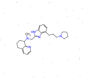 CN(Cc1nc2c(CCCN3CCCC3)cccc2[nH]1)C1CCCc2cccnc21